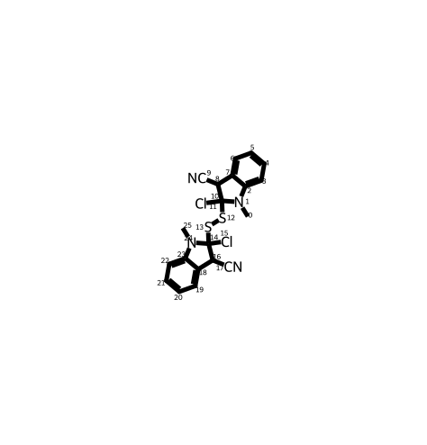 CN1c2ccccc2C(C#N)C1(Cl)SSC1(Cl)C(C#N)c2ccccc2N1C